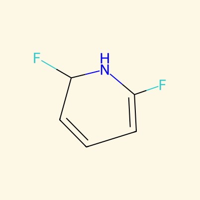 FC1=CC=CC(F)N1